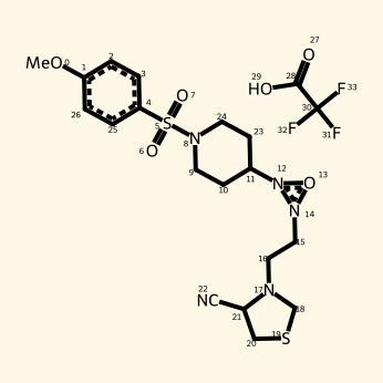 COc1ccc(S(=O)(=O)N2CCC(n3on3CCN3CSCC3C#N)CC2)cc1.O=C(O)C(F)(F)F